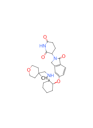 CC1(CN[C@H]2CCCC[C@@H]2Oc2ccc3c(c2)CN(C2CCC(=O)NC2=O)C3=O)CCOCC1